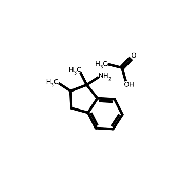 CC(=O)O.CC1Cc2ccccc2C1(C)N